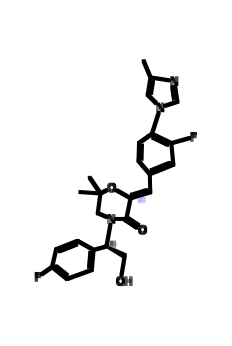 Cc1cn(-c2ccc(/C=C3\OC(C)(C)CN([C@@H](CO)c4ccc(F)cc4)C3=O)cc2F)cn1